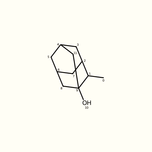 CC1C2CC3CC(C2)CC1(O)C3